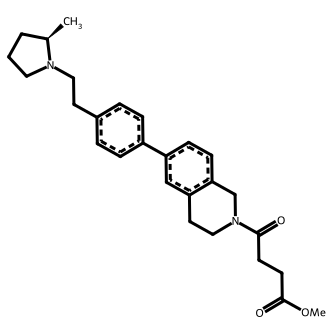 COC(=O)CCC(=O)N1CCc2cc(-c3ccc(CCN4CCC[C@H]4C)cc3)ccc2C1